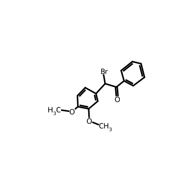 COc1ccc(C(Br)C(=O)c2ccccc2)cc1OC